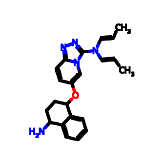 CC=CN(C=CC)c1nnc2ccc(OC3CCC(N)c4ccccc43)cn12